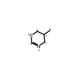 CC1CN=CSC1